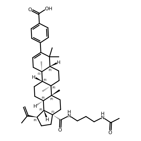 C=C(C)[C@@H]1CC[C@]2(C(=O)NCCCNC(C)=O)CC[C@]3(C)[C@H](CC[C@@H]4[C@@]5(C)CC=C(c6ccc(C(=O)O)cc6)C(C)(C)[C@@H]5CC[C@]43C)[C@@H]12